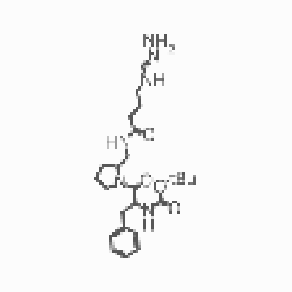 CC(C)(C)OC(=O)NC(Cc1ccccc1)C(=O)N1CCCC1CNC(=O)CCCNC=NN